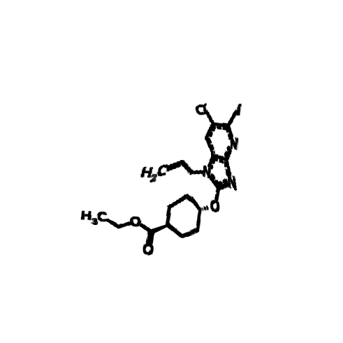 C=CCn1c(O[C@H]2CC[C@H](C(=O)OCC)CC2)nc2nc(I)c(Cl)cc21